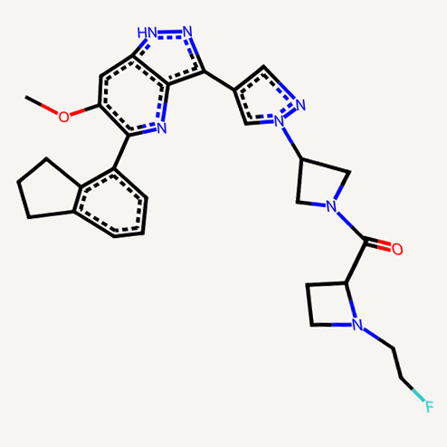 COc1cc2[nH]nc(-c3cnn(C4CN(C(=O)C5CCN5CCF)C4)c3)c2nc1-c1cccc2c1CCC2